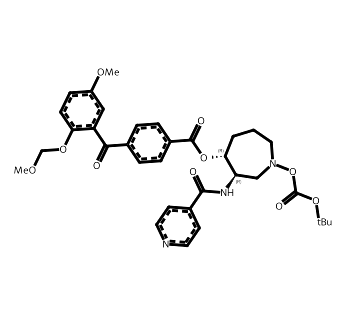 COCOc1ccc(OC)cc1C(=O)c1ccc(C(=O)O[C@@H]2CCCN(OC(=O)OC(C)(C)C)C[C@H]2NC(=O)c2ccncc2)cc1